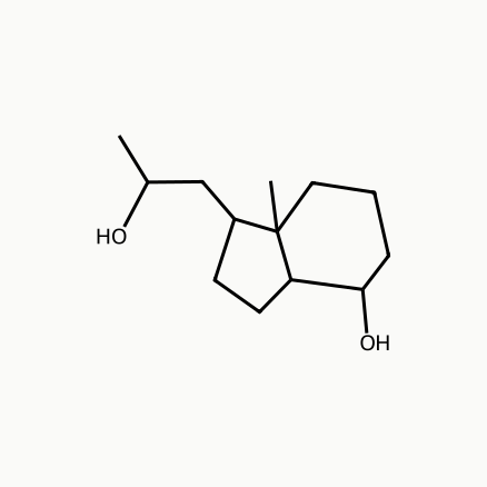 CC(O)CC1CCC2C(O)CCCC12C